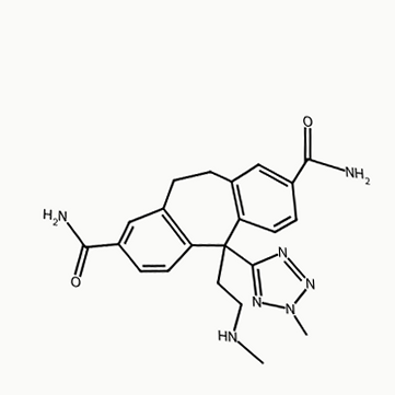 CNCCC1(c2nnn(C)n2)c2ccc(C(N)=O)cc2CCc2cc(C(N)=O)ccc21